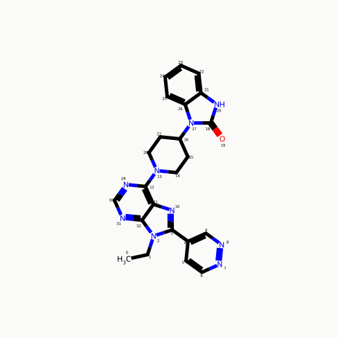 CCn1c(-c2ccnnc2)nc2c(N3CCC(n4c(=O)[nH]c5ccccc54)CC3)ncnc21